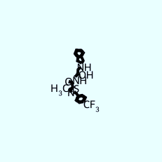 Cc1nc(-c2ccc(C(F)(F)F)cc2)sc1C(=O)NC[C@H](O)CNC1Cc2ccccc2C1